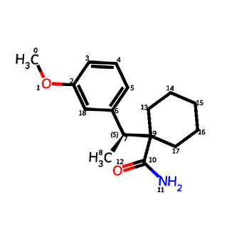 COc1cccc([C@H](C)C2(C(N)=O)CCCCC2)c1